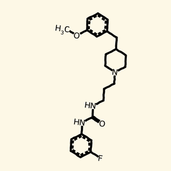 COc1cccc(CC2CCN(CCCNC(=O)Nc3cccc(F)c3)CC2)c1